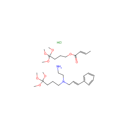 CC=CC(=O)OCCC[Si](OC)(OC)OC.CO[Si](CCCN(CC=Cc1ccccc1)CCN)(OC)OC.Cl